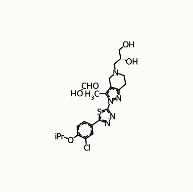 Cc1c2c(nn1-c1nnc(-c3ccc(OC(C)C)c(Cl)c3)s1)CCN(C[C@@H](O)CO)C2.O=CO